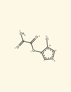 CC(=O)C(=O)Oc1cscc1Cl